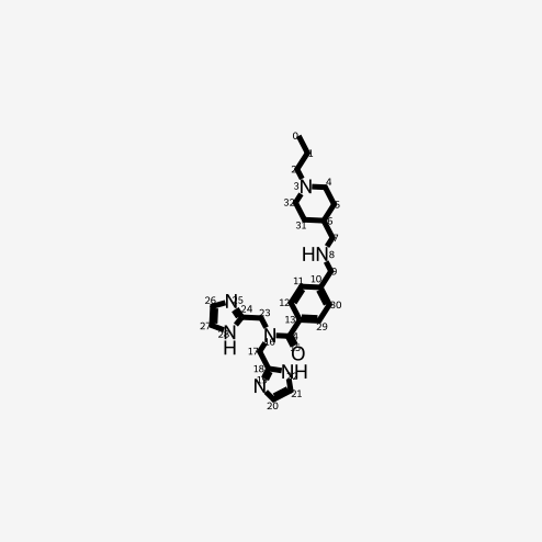 CCCN1CCC(CNCc2ccc(C(=O)N(Cc3ncc[nH]3)Cc3ncc[nH]3)cc2)CC1